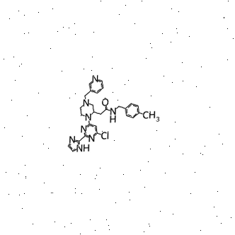 Cc1ccc(CNC(=O)CC2CN(Cc3cccnc3)CCN2c2cc(Cl)nc(-c3ncc[nH]3)n2)cc1